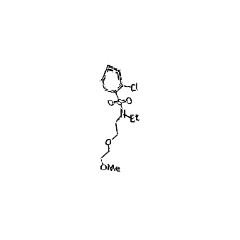 CCN(CCOCCOC)S(=O)(=O)c1c[c]ccc1Cl